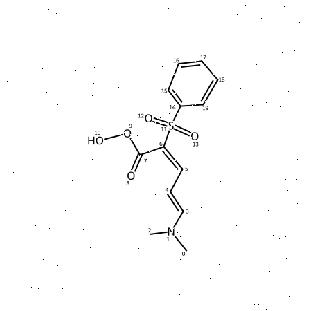 CN(C)C=CC=C(C(=O)OO)S(=O)(=O)c1ccccc1